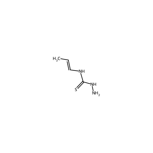 CC=CNC(=S)NN